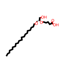 CCCCCCCCCCCCCCCCCCCCOC[C@H](CO)OCCCCC(=O)O